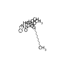 CCCCCCCCCCCCOC[C@@]12O[C@@H](CNC(=O)c3nccc4ccccc34)[C@@H](O)[C@@H]1OC(C)(C)O2